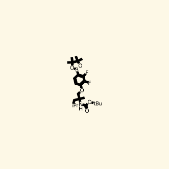 CC(C)CC(C)(COc1ccc(B2OC(C)(C)C(C)(C)O2)c(F)c1F)NC(=O)OC(C)(C)C